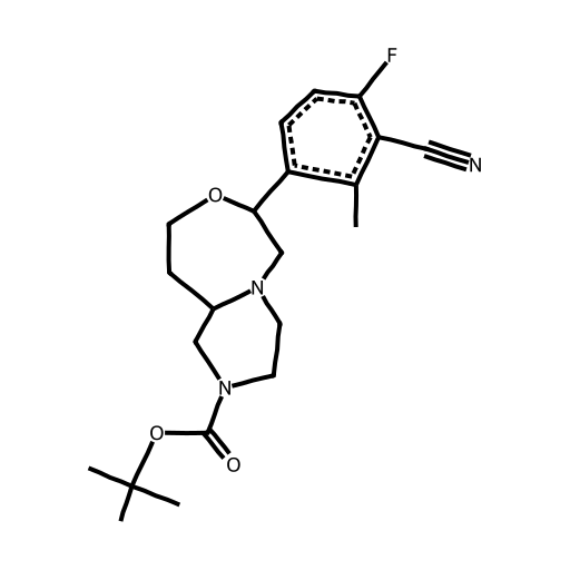 Cc1c(C2CN3CCN(C(=O)OC(C)(C)C)CC3CCO2)ccc(F)c1C#N